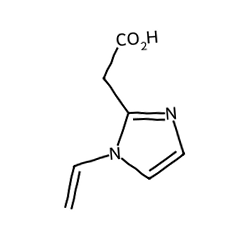 C=Cn1ccnc1CC(=O)O